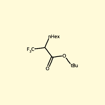 CCCCCCC(C(=O)OC(C)(C)C)C(F)(F)F